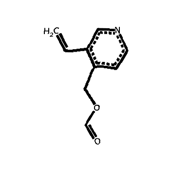 C=Cc1cnccc1COC=O